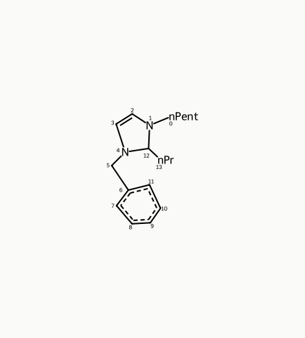 CCCCCN1C=CN(Cc2ccccc2)C1CCC